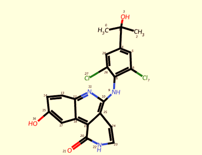 CC(C)(O)c1cc(Cl)c(Nc2nc3ccc(O)cc3c3c(=O)[nH]ccc23)c(Cl)c1